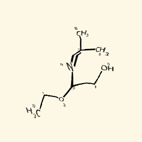 CCOC(CO)N=C(C)C